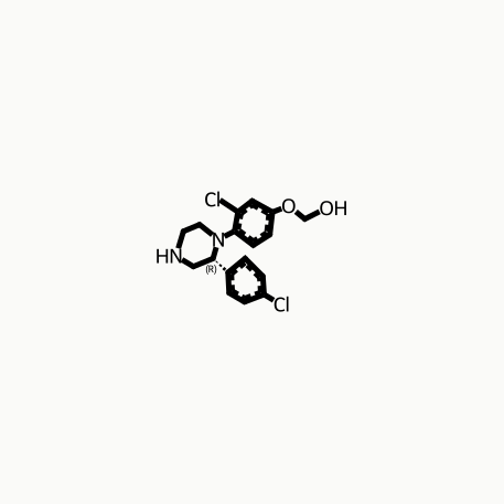 OCOc1ccc(N2CCNC[C@H]2c2ccc(Cl)cc2)c(Cl)c1